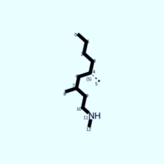 CCCC[C@H](C)CC(C)CCNC